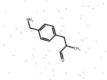 CC(C=O)Cc1ccc(CN)cc1